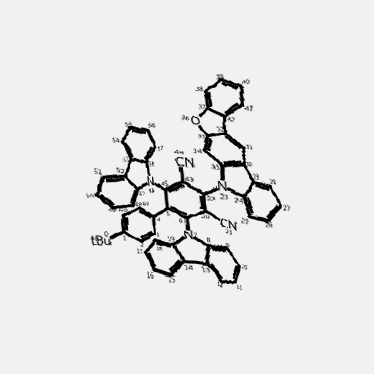 CC(C)(C)c1ccc(-c2c(-n3c4ccccc4c4ccccc43)c(C#N)c(-n3c4ccccc4c4cc5c(cc43)oc3ccccc35)c(C#N)c2-n2c3ccccc3c3ccccc32)cc1